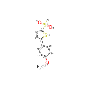 CS(=O)(=O)c1ccc(-c2ccc(OC(F)(F)F)cc2)s1